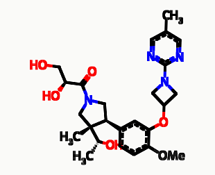 COc1ccc([C@@H]2CN(C(=O)[C@@H](O)CO)C[C@@]2(C)[C@@H](C)O)cc1OC1CN(c2ncc(C)cn2)C1